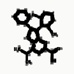 Cc1cccc(C)c1-c1c(-c2ccccc2)nn2c(C(C)C)cc(C(=O)O)nc12